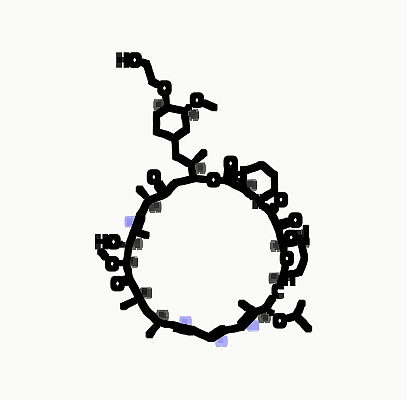 CO[C@@H]1CC(C[C@@H](C)C2CC(=O)[C@H](C)/C=C(\C)[C@@H](O)[C@@H](OC)C(=O)[C@H](C)C[C@H](C)/C=C/C=C/C=C(\C)[C@@H](OC(C)C)C[C@@H]3CC[C@@H](C)[C@@](O)(O3)C(=O)C(=O)N3CCCC[C@H]3C(=O)O2)CC[C@H]1OCCO